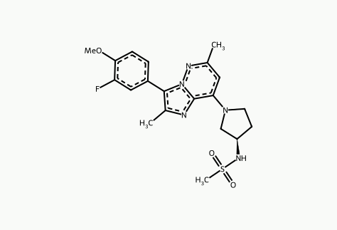 COc1ccc(-c2c(C)nc3c(N4CC[C@@H](NS(C)(=O)=O)C4)cc(C)nn23)cc1F